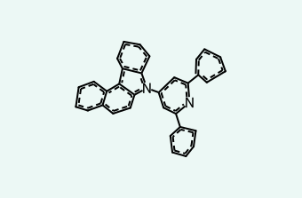 c1ccc(-c2cc(-n3c4ccccc4c4c5ccccc5ccc43)cc(-c3ccccc3)n2)cc1